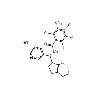 Cc1c(F)c(F)c(F)c(C(=O)N[C@@H](c2cccnc2)C2CCC3CCCCN32)c1Cl.Cl